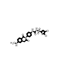 CNc1ccc2c(c1)CC(=O)N(c1ccc(NC(=O)NS(=O)(=O)c3cc(Cl)c(Cl)s3)cc1)C2=O